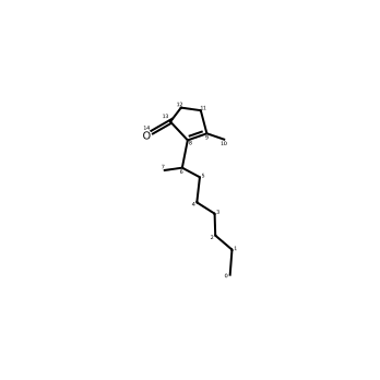 CCCCCCC(C)C1=C(C)CCC1=O